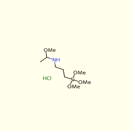 COC(C)NCCC[Si](OC)(OC)OC.Cl